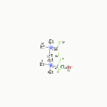 CC[N+](CC)(CC)C(F)F.CC[N+](CC)(CC)C(F)F.[Br-].[Cl-]